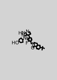 CC(C)(C)c1ccc2c(c1)CCN(Cc1ccc(-c3ccnc4[nH]nc(NC5CCC(O)CC5)c34)cc1F)C2=O